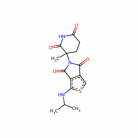 CC(C)Nc1scc2c1C(=O)N(C1(C)CCC(=O)NC1=O)C2=O